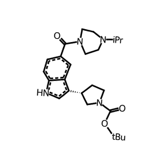 CC(C)N1CCN(C(=O)c2ccc3[nH]cc([C@@H]4CCN(C(=O)OC(C)(C)C)C4)c3c2)CC1